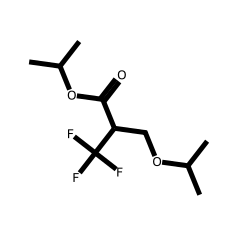 CC(C)OCC(C(=O)OC(C)C)C(F)(F)F